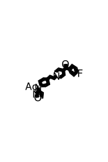 CC(=O)N(c1ccon1)C1CCC(CCN2CCC(C(=O)c3ccc(F)cc3)CC2)CC1